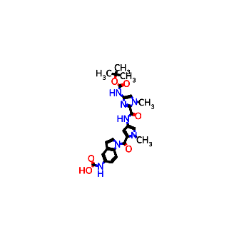 Cn1cc(NC(=O)c2nc(NC(=O)OC(C)(C)C)cn2C)cc1C(=O)n1ccc2cc(NC(=O)O)ccc21